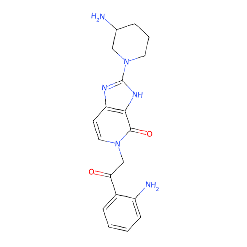 Nc1ccccc1C(=O)Cn1ccc2nc(N3CCCC(N)C3)[nH]c2c1=O